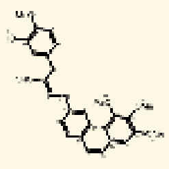 COc1ccc(C/C(C=O)=C\Nc2ccc(/C=C\c3cc(OC)c(OC)c(OC)c3)cc2)cc1O